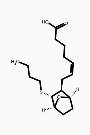 CCCCS[C@@H]1[C@@H](C/C=C\CCCC(=O)O)[C@H]2CC[C@@H]1O2